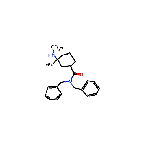 CC(C)(C)C1(NC(=O)O)CCCC(C(=O)N(Cc2ccccc2)Cc2ccccc2)C1